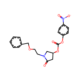 O=C(Oc1ccc([N+](=O)[O-])cc1)O[C@H]1CC(=O)N(CCOCc2ccccc2)C1